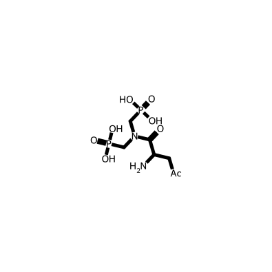 CC(=O)CC(N)C(=O)N(CP(=O)(O)O)CP(=O)(O)O